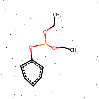 CCOP(OCC)Oc1ccccc1